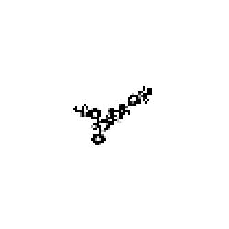 C=CC(=O)Nc1cccc(N2C(=O)N(c3ccccc3)Cc3cnc(Nc4cn(C5CCC(OC(=O)C(F)(F)F)CC5)nc4Cl)nc32)c1